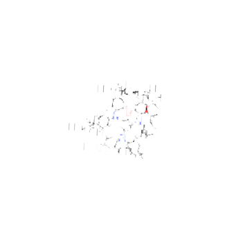 Cc1ccc(N(c2cc3c4c(c2)N(c2ccccc2-c2ccccc2)c2ccc(C(C)(C)C)cc2B4c2cc(C(C)(C)C)ccc2N3c2ccc(C(C)(C)C)cc2)c2ccc(C)cc2C)c(C)c1